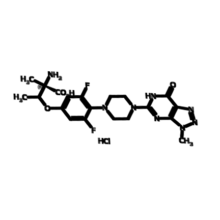 CC(Oc1cc(F)c(N2CCN(c3nc4c(nnn4C)c(=O)[nH]3)CC2)c(F)c1)[C@](C)(N)C(=O)O.Cl